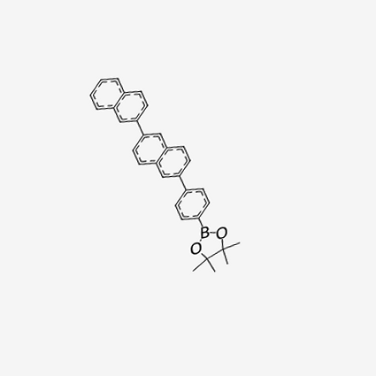 CC1(C)OB(c2ccc(-c3ccc4cc(-c5ccc6ccccc6c5)ccc4c3)cc2)OC1(C)C